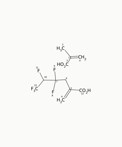 C=C(C)C(=O)O.C=C(CC(F)(F)C(F)C(F)(F)F)C(=O)O